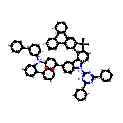 CC1(C)c2cc3c4ccccc4c4ccccc4c3cc2-c2c1ccc1c2c2cc(-c3ccc(N(c4cccc(-c5ccccc5)c4)c4ccccc4-c4ccccc4)cc3)ccc2n1-c1nc(-c2ccccc2)nc(-c2ccccc2)n1